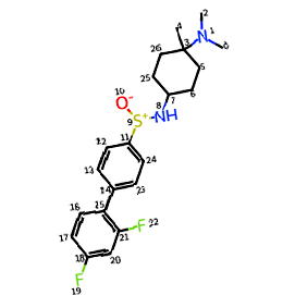 CN(C)C1(C)CCC(N[S+]([O-])c2ccc(-c3ccc(F)cc3F)cc2)CC1